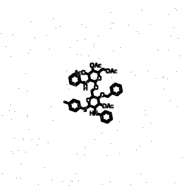 CC(=O)OCC1OC(OCC2OC(Sc3ccc(C)cc3)C(Nc3ccccc3)C(OC(C)=O)C2OCc2ccccc2)C(Nc2ccccc2)C(OC(C)=O)C1OC(C)=O